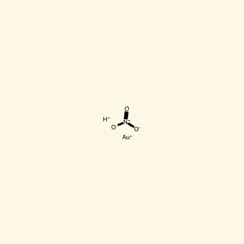 O=[N+]([O-])[O-].[Au+].[H+]